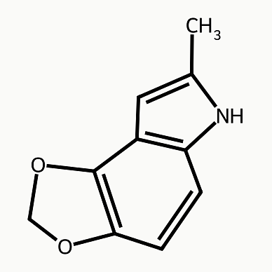 Cc1cc2c3c(ccc2[nH]1)OCO3